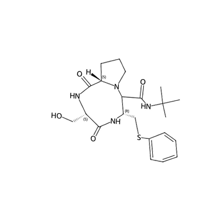 CC(C)(C)NC(=O)C1[C@H](CSc2ccccc2)NC(=O)[C@H](CO)NC(=O)[C@@H]2CCCN12